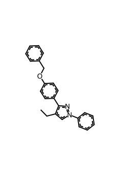 CCc1cn(-c2ccccc2)nc1-c1ccc(OCc2ccccc2)cc1